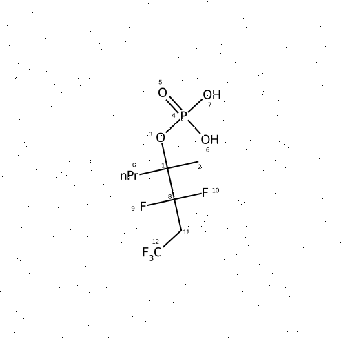 CCCC(C)(OP(=O)(O)O)C(F)(F)CC(F)(F)F